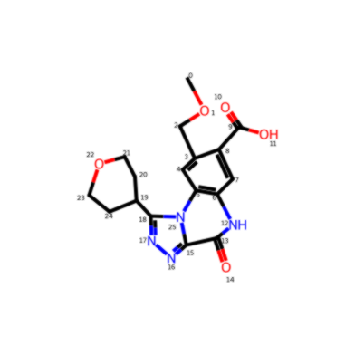 COCc1cc2c(cc1C(=O)O)[nH]c(=O)c1nnc(C3CCOCC3)n12